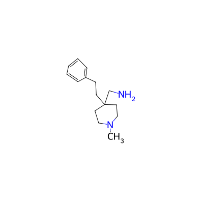 CN1CCC(CN)(CCc2ccccc2)CC1